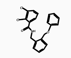 O=C(NCc1ccccc1COc1ccccc1)c1cccc(Cl)c1Cl